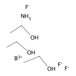 CCO.CCO.CCO.N.[B+3].[F-].[F-].[F-]